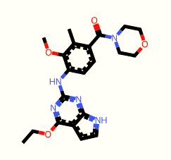 CCOc1nc(Nc2ccc(C(=O)N3CCOCC3)c(C)c2OC)nc2[nH]ccc12